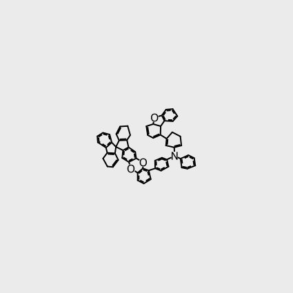 C1=CC2Oc3ccccc3C2C(C2=CC(N(c3ccccc3)c3ccc(-c4cccc5c4Oc4cc6c(cc4O5)C4(C5=C(CCC=C5)c5ccccc54)C4=C6CCC=C4)cc3)=CCC2)=C1